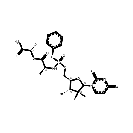 C[C@H](NP(=O)(OC[C@H]1O[C@@H](n2ccc(=O)[nH]c2=O)[C@](C)(F)[C@@H]1O)Oc1ccccc1)C(=O)O[C@@H](C)C(N)=O